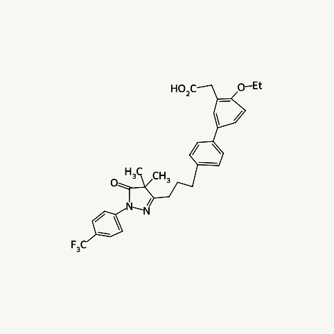 CCOc1ccc(-c2ccc(CCCC3=NN(c4ccc(C(F)(F)F)cc4)C(=O)C3(C)C)cc2)cc1CC(=O)O